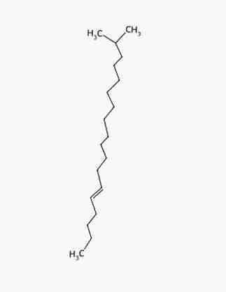 CCCC/C=C/CCCCCCCCCC[C](C)C